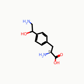 NCC(O)c1ccc(C[C@H](N)C(=O)O)cc1